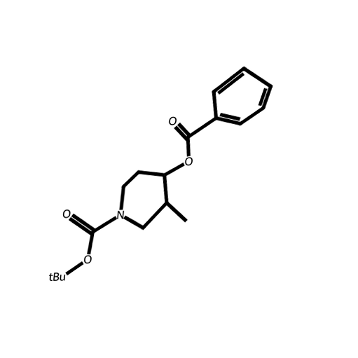 CC1CN(C(=O)OC(C)(C)C)CCC1OC(=O)c1ccccc1